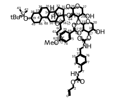 C=CCOC(=O)NCc1ccc(CNC(=O)OC2C(O)COC(OC3C(O)COC(O[C@H]4C[C@H]5[C@@H]6CC=C7C[C@@H](O[Si](C)(C)C(C)(C)C)CC[C@]7(C)C6CC[C@]5(C)[C@@]4(O)[C@H](C)C(=O)CCC(C)C)C3C)C2OC(=O)c2ccc(OC)cc2)cc1